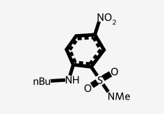 CCCCNc1ccc([N+](=O)[O-])cc1S(=O)(=O)NC